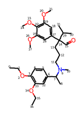 CCOc1ccc(C(C)N(C)CCCC(C=O)(c2cc(OC)c(OC)c(OC)c2)C(C)C)cc1OCC